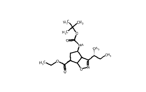 CCOC(=O)C1CC(NC(=O)OC(C)(C)C)C2C([C@H](C)CC)=NOC12